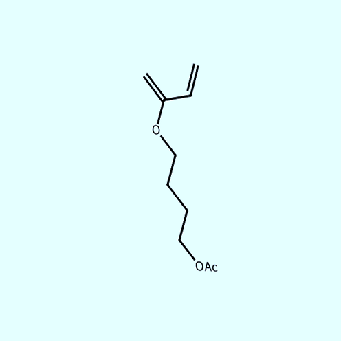 C=CC(=C)OCCCCOC(C)=O